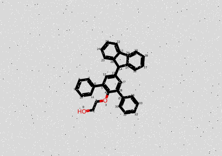 OCCOc1c(-c2ccccc2)cc(C2c3ccccc3-c3ccccc32)cc1-c1ccccc1